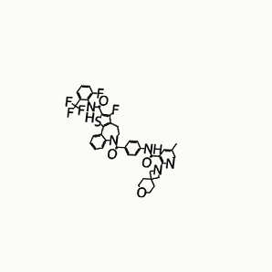 Cc1cnc(N2CC3(CCOCC3)C2)c(C(=O)Nc2ccc(C(=O)N3CCc4c(sc(C(=O)Nc5c(F)cccc5C(F)(F)F)c4F)-c4ccccc43)cc2)c1